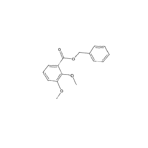 COc1cccc(C(=O)OCc2ccccc2)c1OC